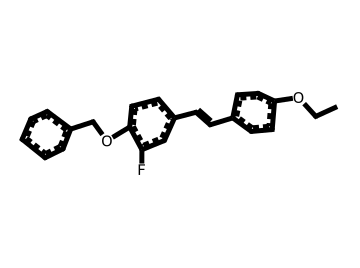 CCOc1ccc(C=Cc2ccc(OCc3ccccc3)c(F)c2)cc1